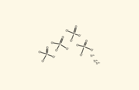 O=P([O-])([O-])[O-].O=P([O-])([O-])[O-].O=P([O-])([O-])[O-].O=P([O-])([O-])[O-].[Ti+4].[Ti+4].[Ti+4]